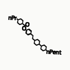 CCCCCC1CCC(C2CCC(CCc3ccc(OC(=O)C4CCC(CCC)CC4)cc3)CC2)CC1